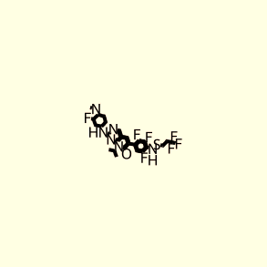 CC(C)n1c(=O)c(-c2cc(F)c(NSCCC(F)(F)F)c(F)c2F)cc2cnc(NC3CCC(N(C)C)C(F)C3)nc21